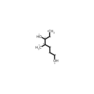 CCC(O)C(C)CCCO